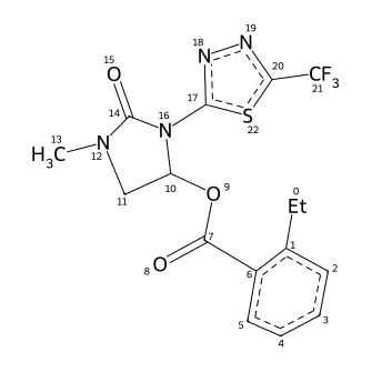 CCc1ccccc1C(=O)OC1CN(C)C(=O)N1c1nnc(C(F)(F)F)s1